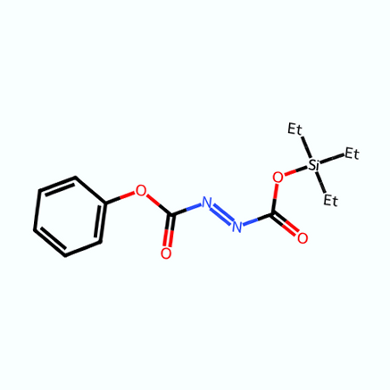 CC[Si](CC)(CC)OC(=O)N=NC(=O)Oc1ccccc1